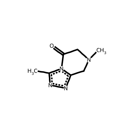 Cc1nnc2n1C(=O)CN(C)C2